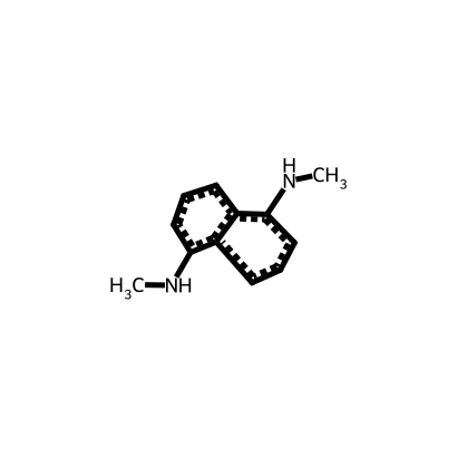 CNc1cccc2c(NC)cccc12